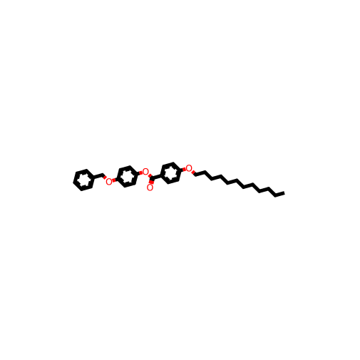 CCCCCCCCCCCCOc1ccc(C(=O)Oc2ccc(OCc3ccccc3)cc2)cc1